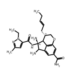 CCC=CC[C@@H]1COc2cc(C(N)=O)cc3c2C1[C@@](N)(NC(=O)c1cc(C)nn1CC)C3N